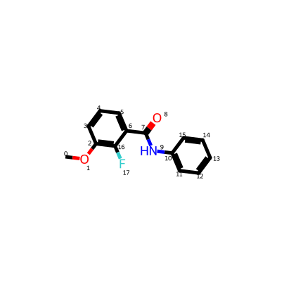 COc1cccc(C(=O)Nc2ccccc2)c1F